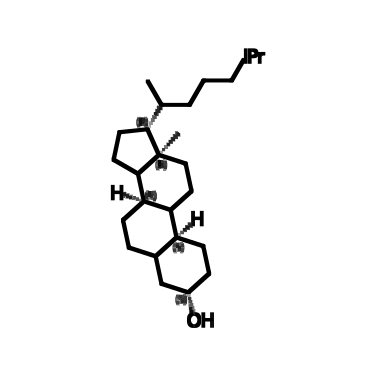 CC(C)CCCC(C)[C@H]1CCC2[C@@H]3CCC4C[C@@H](O)CC[C@@H]4C3CC[C@@]21C